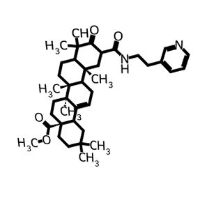 COC(=O)[C@]12CCC(C)(C)CC1C1=CCC3[C@@]4(C)CC(C(=O)NCCc5cccnc5)C(=O)C(C)(C)C4CC[C@@]3(C)[C@]1(C)CC2